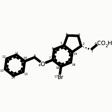 O=C(O)C[C@H]1CCc2cc(OCc3ccccc3)c(Br)cc21